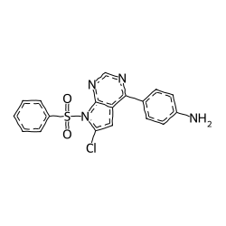 Nc1ccc(-c2ncnc3c2cc(Cl)n3S(=O)(=O)c2ccccc2)cc1